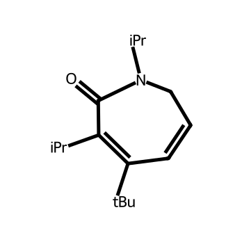 CC(C)C1=C(C(C)(C)C)C=CCN(C(C)C)C1=O